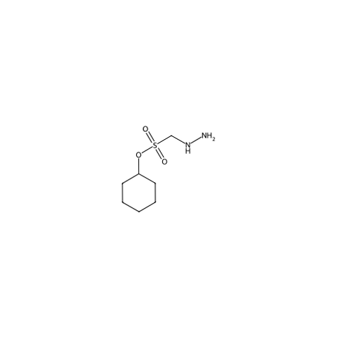 NNCS(=O)(=O)OC1CCCCC1